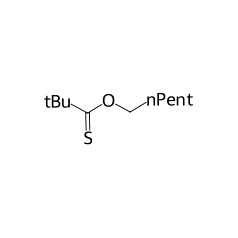 CCCCCCOC(=S)C(C)(C)C